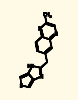 Cc1cnc2cc(Cc3nc4cscc4[nH]3)ccc2n1